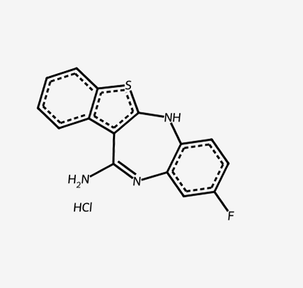 Cl.NC1=Nc2cc(F)ccc2Nc2sc3ccccc3c21